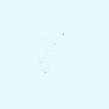 CCn1cc2ncc(N[C@@H](C)c3cccc(NC(=O)c4ccc(CN5CCN(C)CC5)c(C)c4)c3)nc2n1